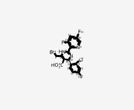 O=C(O)C1=C(CBr)NC(c2ncc(F)cc2F)=N[C@H]1c1ccc(F)cc1Cl